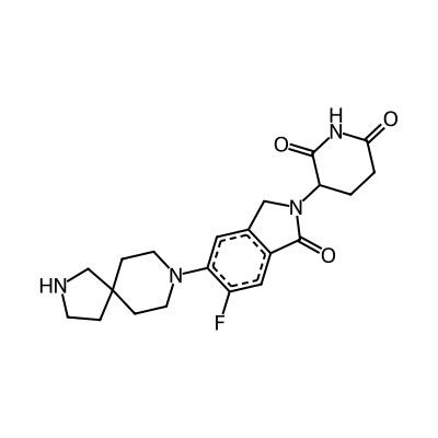 O=C1CCC(N2Cc3cc(N4CCC5(CCNC5)CC4)c(F)cc3C2=O)C(=O)N1